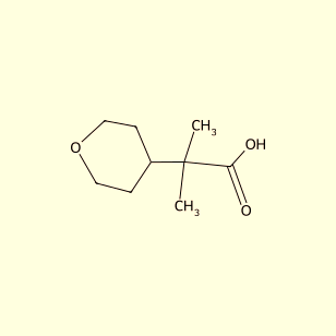 CC(C)(C(=O)O)C1CCOCC1